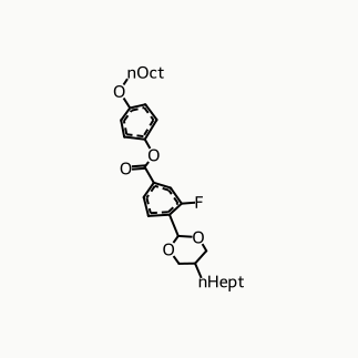 CCCCCCCCOc1ccc(OC(=O)c2ccc(C3OCC(CCCCCCC)CO3)c(F)c2)cc1